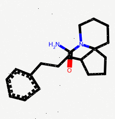 NC(=O)N1CCCCC12CCCC2CCCc1ccccc1